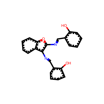 Oc1ccccc1C=Nc1oc2ccccc2c1N=Cc1ccccc1O